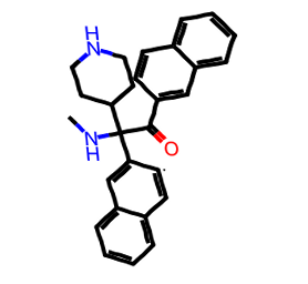 CNC(C(=O)c1ccc2ccccc2c1)(c1[c]cc2ccccc2c1)C1CCNCC1